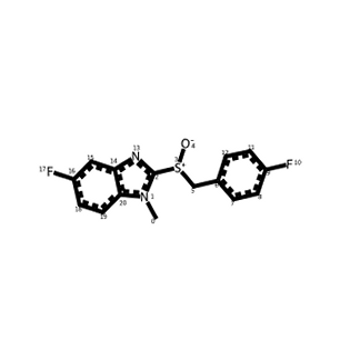 Cn1c([S+]([O-])Cc2ccc(F)cc2)nc2cc(F)ccc21